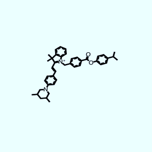 CC1CC(C)CN(c2ccc(/C=C/C3=[N+](Cc4ccc(C(=O)Oc5ccc(C(C)C)cc5)cc4)c4ccccc4C3(C)C)cc2)C1